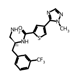 Cn1ncnc1-c1csc(C(=O)N[C@H](CN)Cc2cccc(C(F)(F)F)c2)c1